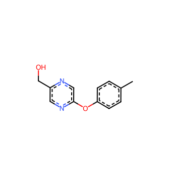 Cc1ccc(Oc2cnc(CO)cn2)cc1